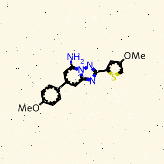 COc1ccc(-c2cc(N)n3nc(-c4cc(OC)cs4)nc3c2)cc1